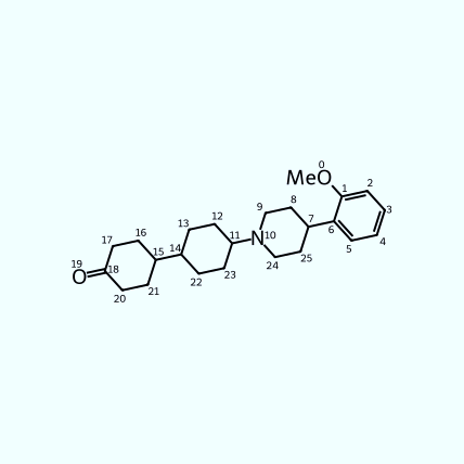 COc1ccccc1C1CCN(C2CCC(C3CCC(=O)CC3)CC2)CC1